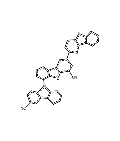 N#Cc1ccc2c(c1)c1ccccc1n2-c1cccc2c1oc1c(C#N)cc(-c3ccc4sc5ccccc5c4c3)cc12